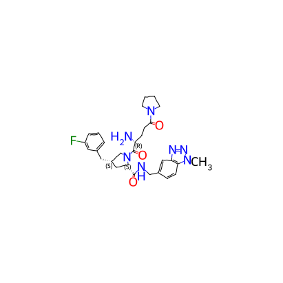 Cn1nnc2cc(CNC(=O)[C@@H]3C[C@H](Cc4cccc(F)c4)CN3C(=O)[C@H](N)CCC(=O)N3CCCC3)ccc21